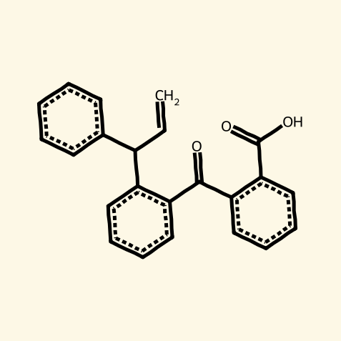 C=CC(c1ccccc1)c1ccccc1C(=O)c1ccccc1C(=O)O